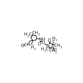 CC1(C)CC(NC(=O)OCN2C(=O)C(C)(C)N(Cl)C2(C)C)CC(C)(CN=C=O)C1